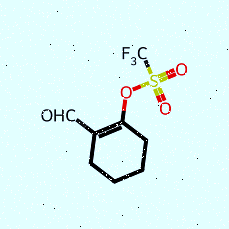 O=CC1=C(OS(=O)(=O)C(F)(F)F)CCCC1